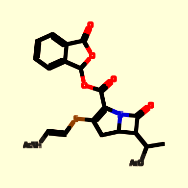 CC(=O)NC=CSC1=C(C(=O)OC2OC(=O)c3ccccc32)N2C(=O)C(C(C)OC(C)=O)C2C1